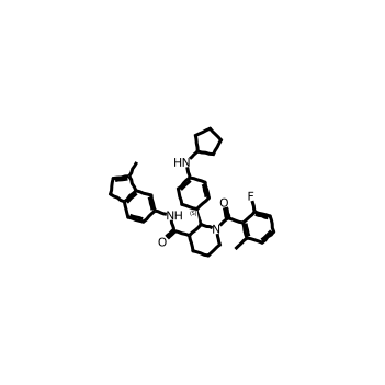 CC1=CCc2ccc(NC(=O)C3CCCN(C(=O)c4c(C)cccc4F)C3[C@@H]3C=CC(NC4CCCC4)=CC3)cc21